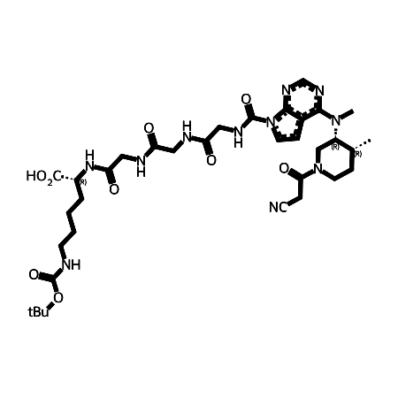 C[C@@H]1CCN(C(=O)CC#N)C[C@@H]1N(C)c1ncnc2c1ccn2C(=O)NCC(=O)NCC(=O)NCC(=O)N[C@H](CCCCNC(=O)OC(C)(C)C)C(=O)O